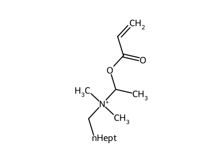 C=CC(=O)OC(C)[N+](C)(C)CCCCCCCC